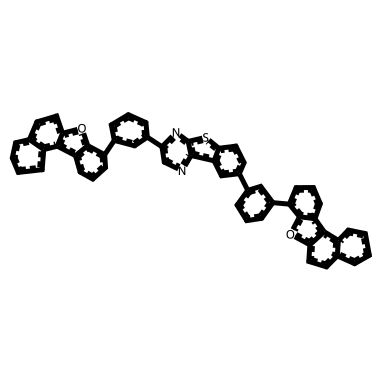 c1cc(-c2ccc3sc4nc(-c5cccc(-c6cccc7c6oc6ccc8ccccc8c67)c5)cnc4c3c2)cc(-c2cccc3c2oc2ccc4ccccc4c23)c1